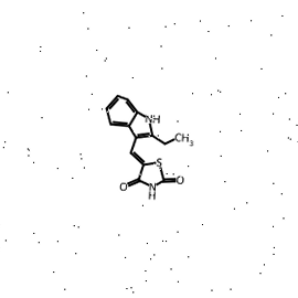 CCc1[nH]c2ccccc2c1C=C1SC(=O)NC1=O